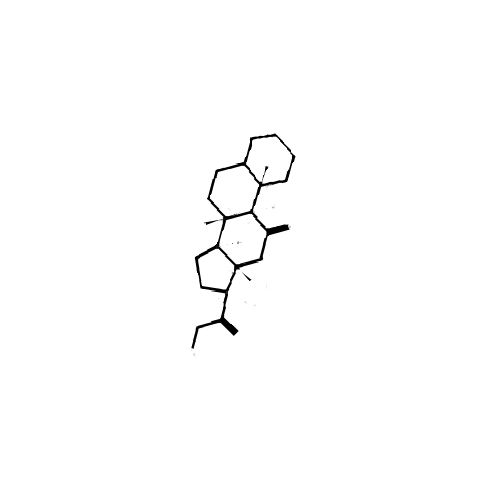 C[C@]12CC[CH]CC1CC[C@@H]1[C@@H]2C(=O)C[C@@]2(C)[C@H]1CC[C@]2(O)C(=O)CO